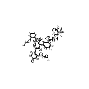 CCOc1ccccc1C(=O)Nc1nc(-c2ccc(Cl)cc2OCOC)cc(-c2cccc(C(=O)NCCN(C(=O)O)C(C)(C)C)c2)c1C#N